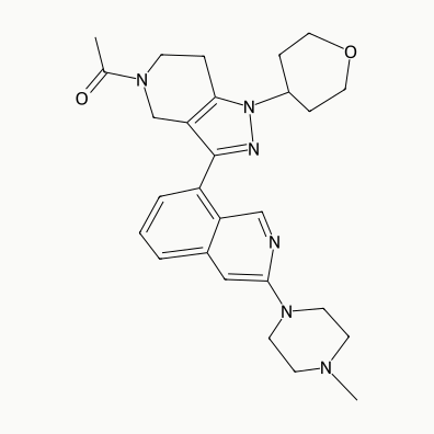 CC(=O)N1CCc2c(c(-c3cccc4cc(N5CCN(C)CC5)ncc34)nn2C2CCOCC2)C1